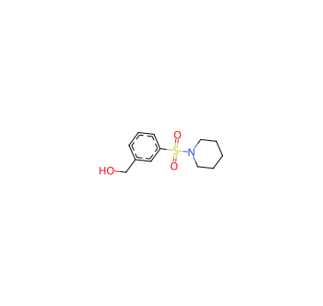 O=S(=O)(c1cccc(CO)c1)N1CCCCC1